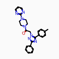 Cc1ccc(-c2nc(-c3ccccc3)nn2CC(=O)N2CCN(c3ncccn3)CC2)cc1